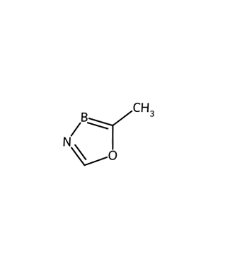 Cc1bnco1